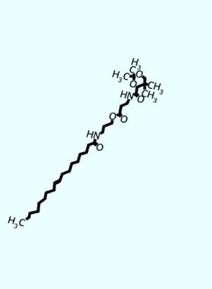 CCCCCCCCC=CCCCCCCCC(=O)NCCCOC(=O)CCNC(=O)C1OC(C)(C)OCC1(C)C